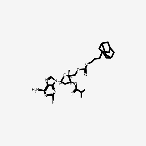 CC(C)C(=O)O[C@H]1C[C@H](n2cnc3c(N)nc(F)nc32)O[C@]1(C)COC(=O)OCCCC12CC3CC(CC(C3)C1)C2